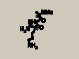 CN[C@@H](C)C(=O)CC(=O)[C@H](CCCCN)N(N)N